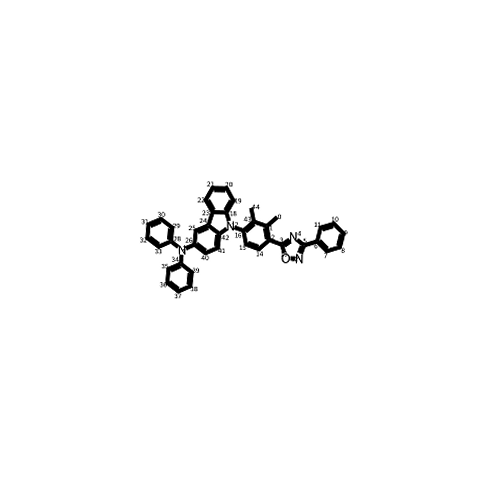 Cc1c(-c2nc(-c3ccccc3)no2)ccc(-n2c3ccccc3c3cc(N(c4ccccc4)c4ccccc4)ccc32)c1C